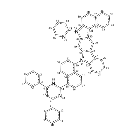 c1ccc(-c2nc(-c3ccccc3)nc(-c3cccc4c(-n5c6ccccc6c6cc7c8c9ccccc9ccc8n(-c8ccccn8)c7cc65)cccc34)n2)cc1